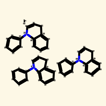 C1=CN(c2ccccc2)c2ccccc2C1.C1=CN(c2ccccc2)c2ccccc2C1.C1=CN(c2ccccc2)c2ccccc2C1.[Ir]